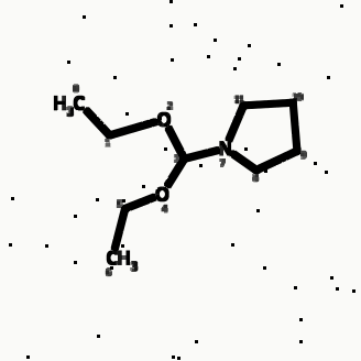 CCOC(OCC)N1CCCC1